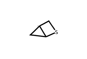 C1SC2C[C]12